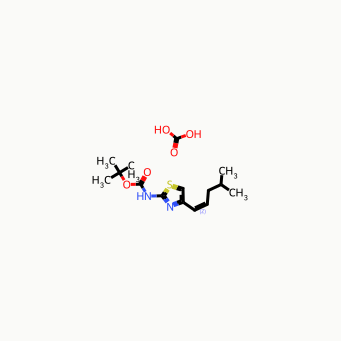 CC(C)C/C=C\c1csc(NC(=O)OC(C)(C)C)n1.O=C(O)O